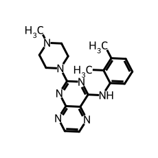 Cc1cccc(Nc2nc(N3CCN(C)CC3)nc3nccnc23)c1C